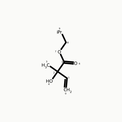 C=CC(C)(O)C(=O)OCC(C)C